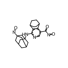 O=NC(=O)c1cnc(NC23CC4CC(CC(N=O)(C4)C2)C3)c2c1C1CCC2CC1